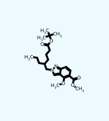 CCCC(CCCC(=O)OC(C)(C)C)Cn1cc2c(OC)c(C(=O)OC)ccc2n1